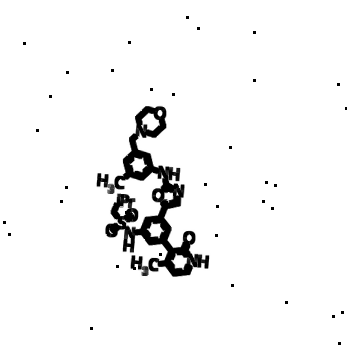 Cc1cc(CN2CCOCC2)cc(Nc2ncc(-c3cc(NS(=O)(=O)CC(C)C)cc(-c4c(C)cc[nH]c4=O)c3)o2)c1